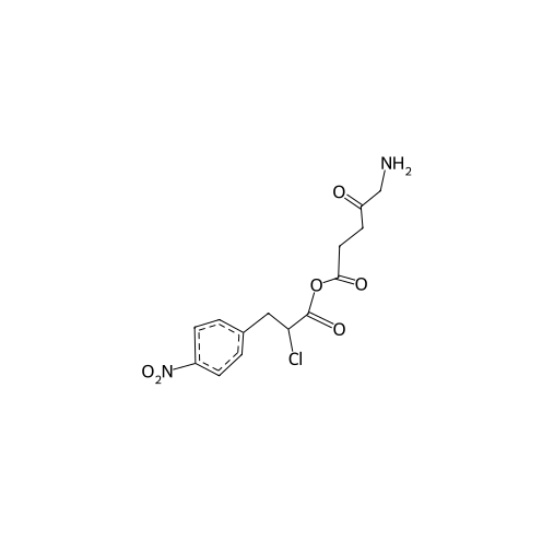 NCC(=O)CCC(=O)OC(=O)C(Cl)Cc1ccc([N+](=O)[O-])cc1